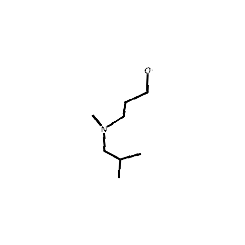 CC(C)CN(C)CCC[O]